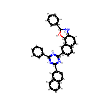 c1ccc(-c2nc(-c3ccc4ccccc4c3)nc(-c3ccc4ccc5c(c4c3)OC(c3ccccc3)N5)n2)cc1